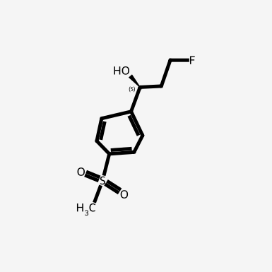 CS(=O)(=O)c1ccc([C@@H](O)CCF)cc1